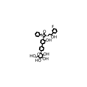 O=C1[C@H](CC[C@H](O)c2cccc(F)c2)[C@@H](c2ccc(-c3ccc([C@@H]4O[C@H](CO)[C@@H](O)[C@H](O)[C@H]4O)cc3)cc2O)N1c1ccccc1